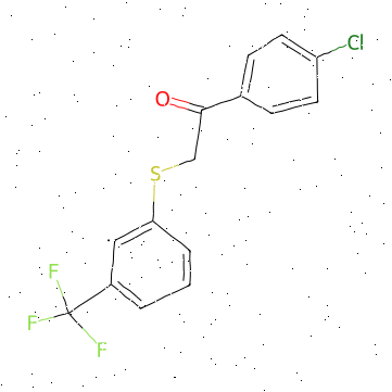 O=C(CSc1[c]c(C(F)(F)F)ccc1)c1ccc(Cl)cc1